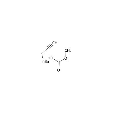 C#CCCCCC.COC(=O)O